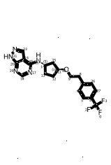 FC(F)(F)c1ccc(CCO[C@H]2CC[C@H](Nc3ncnc4[nH]ncc34)C2)cc1